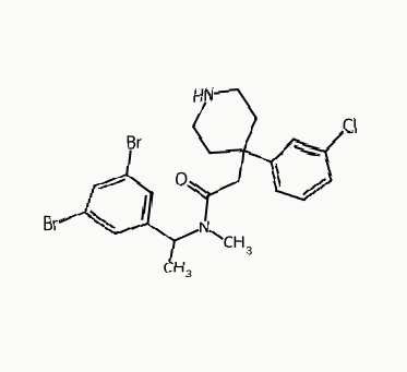 CC(c1cc(Br)cc(Br)c1)N(C)C(=O)CC1(c2cccc(Cl)c2)CCNCC1